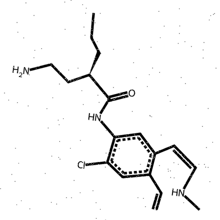 C=Cc1cc(Cl)c(NC(=O)[C@H](CCC)CCN)cc1/C=C\NC